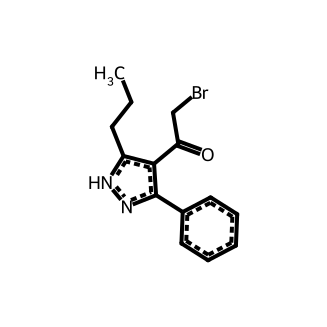 CCCc1[nH]nc(-c2ccccc2)c1C(=O)CBr